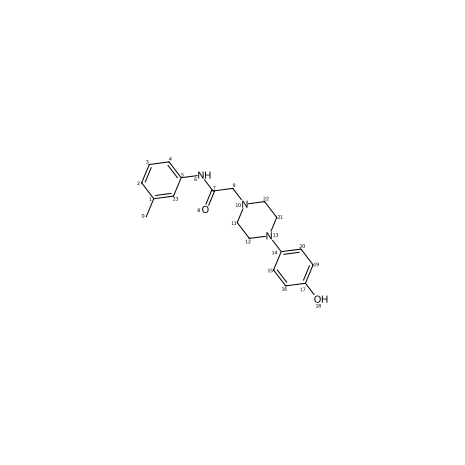 Cc1cccc(NC(=O)CN2CCN(c3ccc(O)cc3)CC2)c1